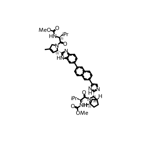 COC(=O)N[C@H](C(=O)N1CC(C)=C[C@H]1c1nc2ccc(-c3ccc4cc(-c5cnc([C@@H]6[C@@H]7CC[C@@H](C7)N6C(=O)[C@@H](NC(=O)OC)C(C)C)[nH]5)ccc4c3)cc2[nH]1)C(C)C